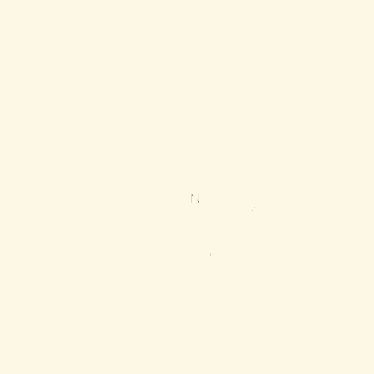 C=C1CCc2c(C)c3ccccc3n2C1=O